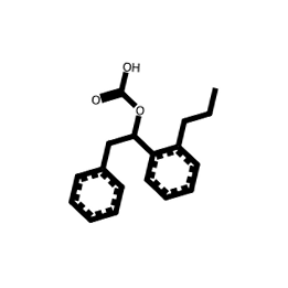 CCCc1ccccc1C(Cc1ccccc1)OC(=O)O